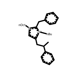 CCCCCCCCn1cc(CC(C)c2ccccc2)[n+](CCCC)c1Cc1ccccc1